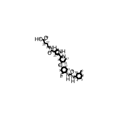 Cc1cccc(NC(=O)Nc2ccc(Oc3ccnc(-c4cc(C(=O)NCCCC(=O)O)c[nH]4)c3)cc2F)c1